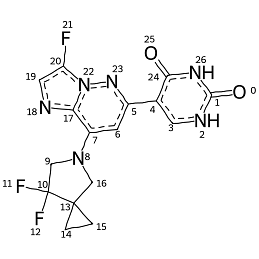 O=c1[nH]cc(-c2cc(N3CC(F)(F)C4(CC4)C3)c3ncc(F)n3n2)c(=O)[nH]1